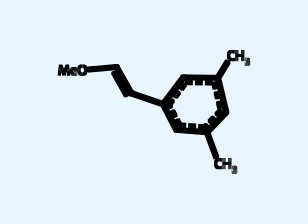 COC=Cc1cc(C)cc(C)c1